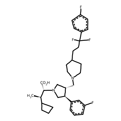 C[C@H](C1CCC1)[C@H](C(=O)O)N1C[C@H](CN2CCC(CCC(F)(F)c3ccc(F)cc3)CC2)[C@@H](c2cccc(F)c2)C1